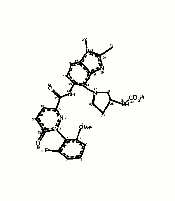 COc1cccc(F)c1-n1nc(C(=O)Nc2ccc3c(nc(C)n3C)c2N2CCC(NC(=O)O)C2)ccc1=O